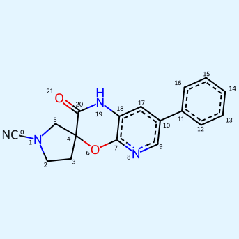 N#CN1CCC2(C1)Oc1ncc(-c3ccccc3)cc1NC2=O